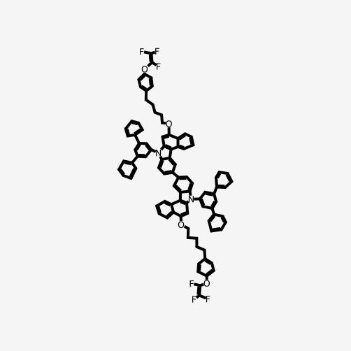 FC(F)=C(F)Oc1ccc(CCCCCOc2cc3c(c4ccccc24)c2cc(-c4ccc5c(c4)c4c6ccccc6c(OCCCCCc6ccc(OC(F)=C(F)F)cc6)cc4n5-c4cc(-c5ccccc5)cc(-c5ccccc5)c4)ccc2n3-c2cc(-c3ccccc3)cc(-c3ccccc3)c2)cc1